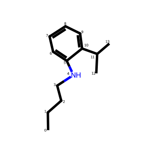 CCCCNc1ccccc1C(C)C